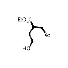 CCOC(=O)C(CCO)CC(C)=O